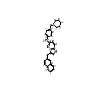 c1cnc2ccc(Cc3cnc4ccc(Nc5ccc(CN6CCCCC6)cc5)nn34)cc2c1